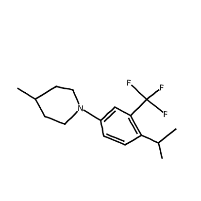 CC1CCN(c2ccc(C(C)C)c(C(F)(F)F)c2)CC1